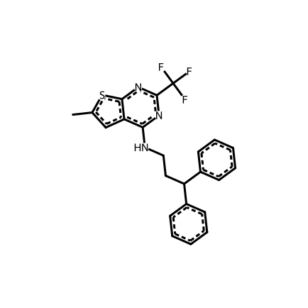 Cc1cc2c(NCCC(c3ccccc3)c3ccccc3)nc(C(F)(F)F)nc2s1